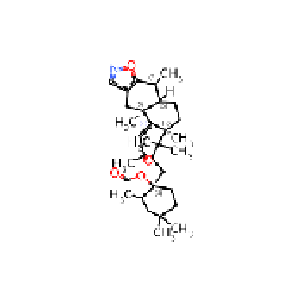 CC(=O)/C=C1/[C@@]2(C)Cc3cnoc3[C@@H](C)[C@@H]2CC[C@@]1(C)C(C)(C)CC[C@@]1(OC=O)CCC(C)(C)CC1C